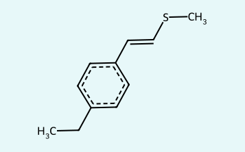 CCc1ccc(/C=C/SC)cc1